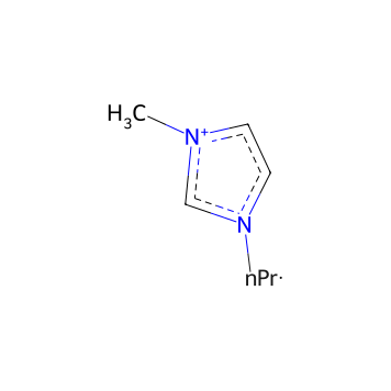 CC[CH]n1cc[n+](C)c1